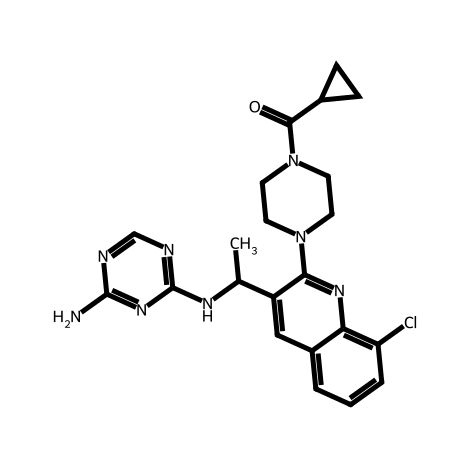 CC(Nc1ncnc(N)n1)c1cc2cccc(Cl)c2nc1N1CCN(C(=O)C2CC2)CC1